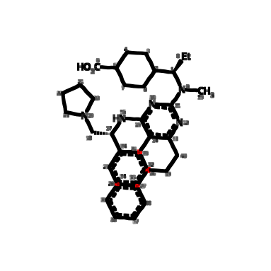 CC[C@H](C1CCC(C(=O)O)CC1)N(C)c1nc2c(c(N[C@@H](CN3CCCC3)c3ccccc3)n1)C[C@H](c1ccccc1)CC2